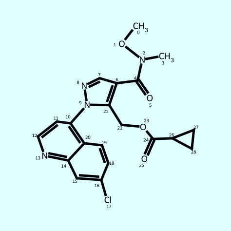 CON(C)C(=O)c1cnn(-c2ccnc3cc(Cl)ccc23)c1COC(=O)C1CC1